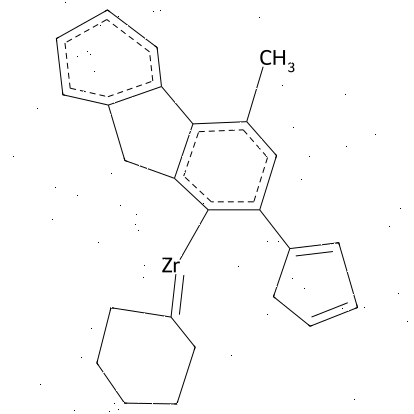 Cc1cc(C2=CC=CC2)[c]([Zr]=[C]2CCCCC2)c2c1-c1ccccc1C2